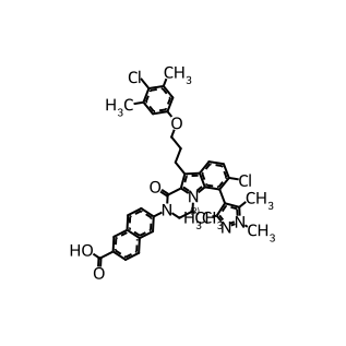 Cc1cc(OCCCc2c3n(c4c(-c5c(C)nn(C)c5C)c(Cl)ccc24)[C@H](C)CN(c2ccc4cc(C(=O)O)ccc4c2)C3=O)cc(C)c1Cl